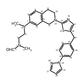 CN(C=O)CCN(C)c1ccc2c(c1)CN(c1ncc(Cc3ccc(-n4cccn4)cc3)s1)CC2